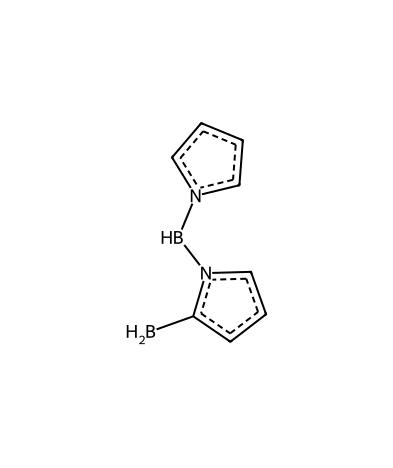 Bc1cccn1Bn1cccc1